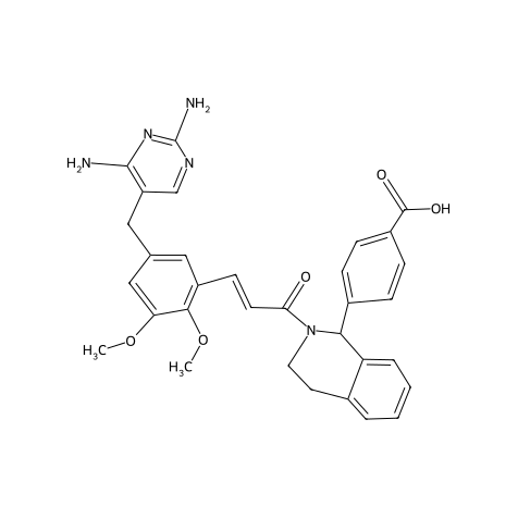 COc1cc(Cc2cnc(N)nc2N)cc(C=CC(=O)N2CCc3ccccc3C2c2ccc(C(=O)O)cc2)c1OC